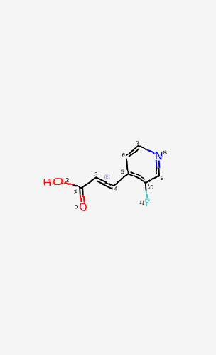 O=C(O)/C=C/c1ccncc1F